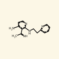 CC(=N)c1c(N)ccnc1NCCc1ccccn1